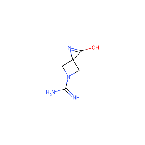 N=C(N)N1CC2(C1)N=C2O